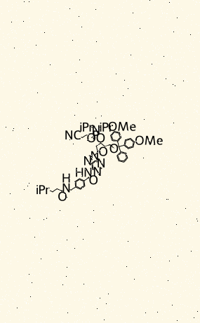 COc1ccc(C(OC[C@H]2O[C@@H](n3cnc4c(NC(=O)c5ccc(CNC(=O)CCC(C)C)cc5)ncnc43)C[C@H]2OP(OCCC#N)N(C(C)C)C(C)C)(c2ccccc2)c2ccc(OC)cc2)cc1